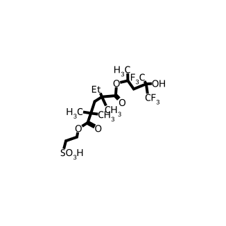 CCC(C)(CC(C)(C)C(=O)OCCS(=O)(=O)O)C(=O)OC(C)CC(O)(C(F)(F)F)C(F)(F)F